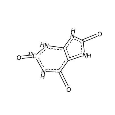 O=c1[nH]c2[nH][13c](=O)[nH]c(=O)c2[nH]1